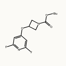 CC(C)(C)OC(=O)N1CC(Oc2cc(F)nc(F)c2)C1